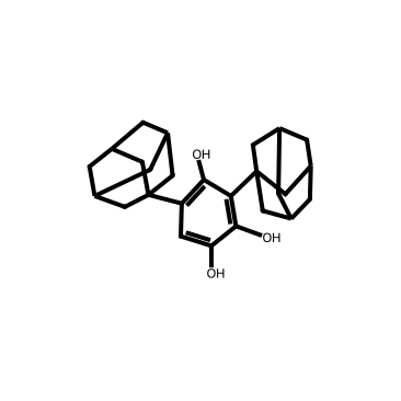 Oc1cc(C23CC4CC(CC(C4)C2)C3)c(O)c(C23CC4CC(CC(C4)C2)C3)c1O